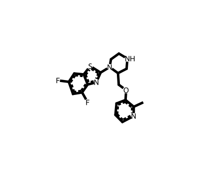 Cc1ncccc1OCC1CNCCN1c1nc2c(F)cc(F)cc2s1